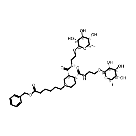 C[C@@H]1O[C@@H](OCCNC(=O)[C@H]2CN(CCCCCC(=O)OCc3ccccc3)CC[C@H]2C(=O)NCCO[C@@H]2O[C@@H](C)[C@@H](O)[C@H](O)[C@H]2O)[C@H](O)[C@@H](O)[C@@H]1O